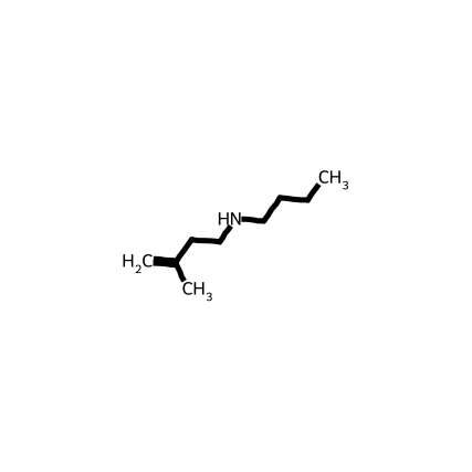 C=C(C)CCNCCCC